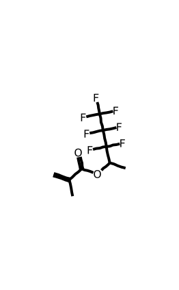 C=C(C)C(=O)OC(C)C(F)(F)C(F)(F)C(F)(F)F